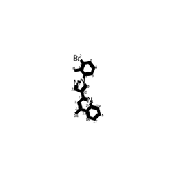 Cc1c(Br)cccc1-n1cc(-c2cc(C)c3ccccc3n2)cn1